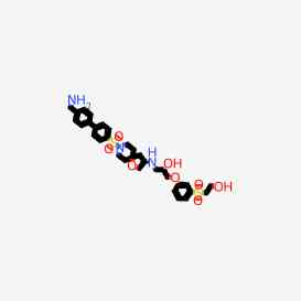 NCc1ccc(-c2ccc(S(=O)(=O)N3CCC4(CC3)C[C@@H](NCC(O)COc3cccc(S(=O)(=O)CCO)c3)CO4)cc2)cc1